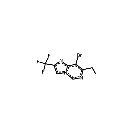 CCc1ncn2cc(C(F)(F)F)nc2c1Br